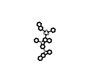 c1ccc(-c2nc(-c3ccc4ccccc4c3)nc(-c3cc4c(c5ccccc35)c3cc(-n5c6ccccc6c6cc7ccccc7cc65)ccc3n4-c3ccccc3)n2)cc1